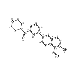 O=Cc1c(O)ccc2cc(-c3cccc(C(=O)C4CCOCC4)n3)ccc12